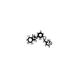 c1cc(OCC2=NOCC2)cc(-n2cc3c(n2)CCCC3)c1